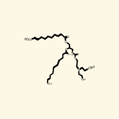 CCCCCCCCC=CCCCCCCCC(=O)OCC(CNC(=S)OCCN(CCO)CCO)OC(=O)CCCCCCCC=CCCCCCCCC